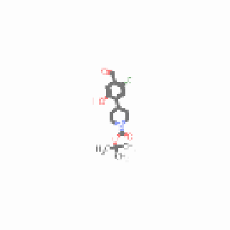 CC(C)(C)OC(=O)N1CCC(c2cc(Cl)c(C=O)cc2O)CC1